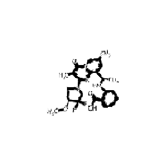 CO[C@H]1CCN(c2nc3c([C@@H](C)Nc4ccccc4C(=O)O)cc(C)cn3c(=O)c2C)CC1(F)F